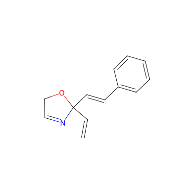 C=CC1(C=Cc2ccccc2)N=CCO1